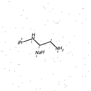 CC(C)NCCN.[NaH]